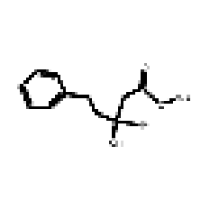 CC(C)C(O)(CCc1ccccc1)CC(=O)OC(C)(C)C